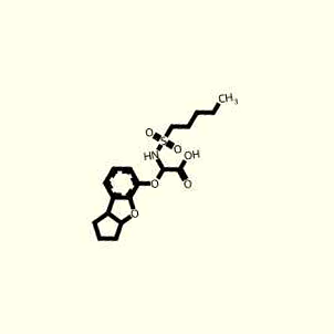 CCCCCS(=O)(=O)NC(Oc1cccc2c1OC1CCCC21)C(=O)O